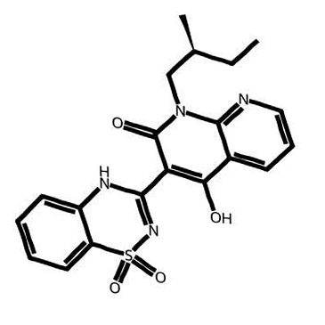 CC[C@H](C)Cn1c(=O)c(C2=NS(=O)(=O)c3ccccc3N2)c(O)c2cccnc21